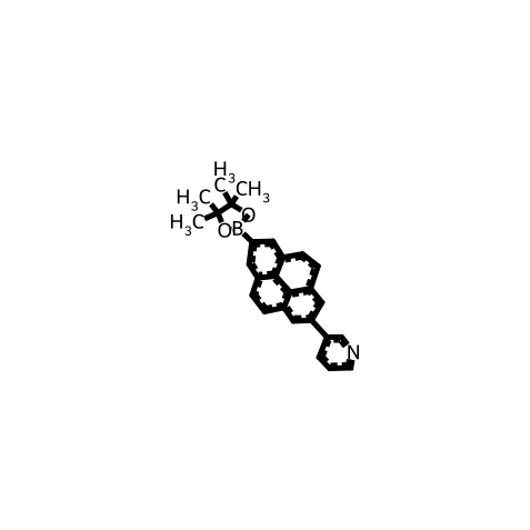 CC1(C)OB(c2cc3ccc4cc(-c5cccnc5)cc5ccc(c2)c3c45)OC1(C)C